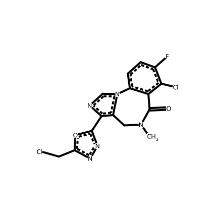 CN1Cc2c(-c3nnc(CCl)o3)ncn2-c2ccc(F)c(Cl)c2C1=O